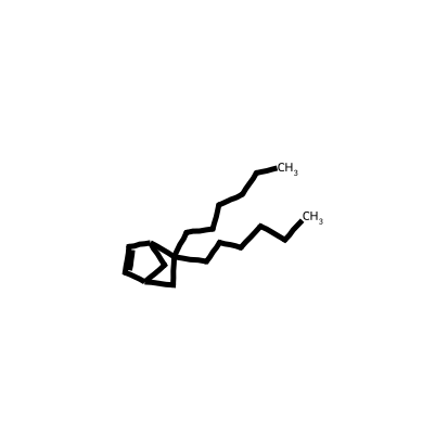 CCCCCCC1(CCCCCC)CC2C=CC1C2